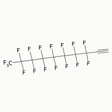 C#CC(F)(F)C(F)(F)C(F)(F)C(F)(F)C(F)(F)C(F)(F)C(F)(F)C(F)(F)F